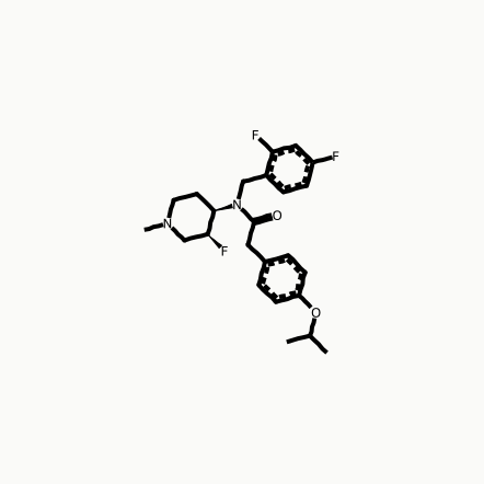 CC(C)Oc1ccc(CC(=O)N(Cc2ccc(F)cc2F)[C@@H]2CCN(C)C[C@@H]2F)cc1